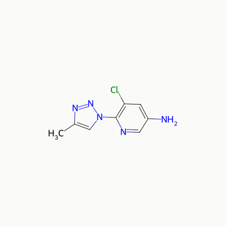 Cc1cn(-c2ncc(N)cc2Cl)nn1